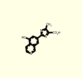 Cc1nc(-c2cc(C#N)c3ccncc3c2)sc1C(=O)O